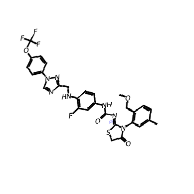 COCc1ccc(C)cc1N1C(=O)CS/C1=N\C(=O)Nc1ccc(NCc2ncn(-c3ccc(OC(F)(F)F)cc3)n2)c(F)c1